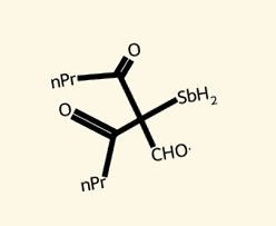 CCCC(=O)[C]([SbH2])([C]=O)C(=O)CCC